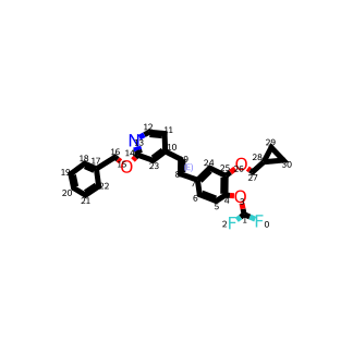 FC(F)Oc1ccc(/C=C/c2ccnc(OCc3ccccc3)c2)cc1OCC1CC1